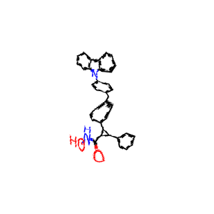 O=C(NO)C1C(c2ccccc2)C1c1ccc(-c2ccc(-n3c4ccccc4c4ccccc43)cc2)cc1